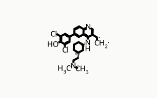 [CH2][CH]c1cnc2ccc(-c3cc(Cl)c(O)c(Cl)c3)cc2c1N[C@H]1CCC[C@H](CCN(C)C)C1